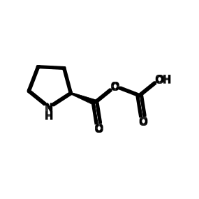 O=C(O)OC(=O)[C@@H]1CCCN1